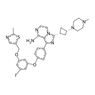 Cc1ncc(COc2cc(I)cc(Oc3ccc(-c4nc([C@H]5C[C@@H](N6CCN(C)CC6)C5)n5ccnc(N)c45)cc3)c2)s1